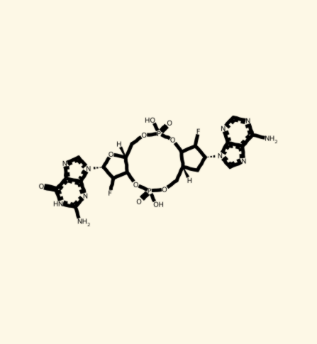 Nc1nc2c(ncn2[C@@H]2O[C@@H]3COP(=O)(O)OC4C(F)[C@H](n5cnc6c(N)ncnc65)C[C@@H]4COP(=O)(O)OC3C2F)c(=O)[nH]1